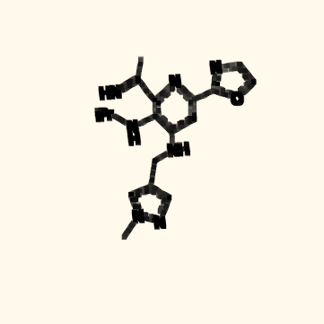 CC(=N)c1nc(-c2ncco2)cc(NCc2cnn(C)c2)c1NC(C)C